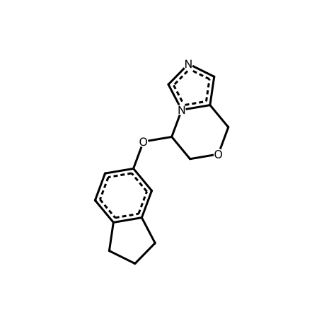 c1cc2c(cc1OC1COCc3cncn31)CCC2